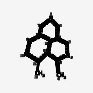 C=c1ncc2cncc3cnc(C)c1c32